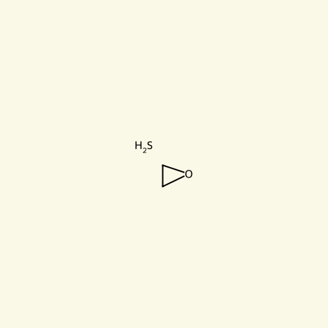 C1CO1.S